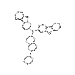 c1ccc(-c2ccc3cc(N(c4ccc5c(c4)oc4cccnc45)c4cc5oc6ccccc6c5cn4)ccc3c2)cc1